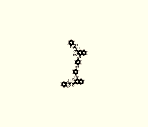 O=C(NC(=O)c1cc2ccccc2c(N=Nc2ccc(N=Nc3ccc(N=Nc4c(O)c(C(=O)NC(=O)Nc5ccccc5Cl)cc5ccccc45)cc3)cc2)c1O)Nc1ccccc1Cl